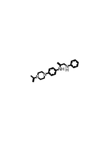 C=C(CNc1ccccc1)Nc1ccc(N2CCN(C(=C)C)CC2)cc1